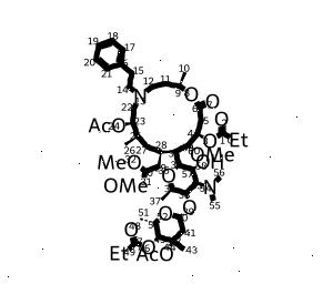 CCC(=O)O[C@@H]1CC(=O)O[C@H](C)CCN(CCc2ccccc2)C[C@H](OC(C)=O)[C@H](C)C[C@H](CC(OC)OC)[C@H]([C@@H]2O[C@H](C)[C@@H](O[C@@H]3C[C@@](C)(OC(C)=O)[C@@H](OC(=O)CC)[C@H](C)O3)[C@H](N(C)C)[C@H]2O)[C@@H]1OC